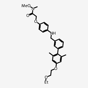 CCOCCOc1cc(C)c(-c2cccc(CNc3ccc(OCC(=O)N(C)OC)cc3)c2)c(C)c1